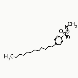 C=NOS(=O)(=O)c1ccc(CCCCCCCCCCCC)cc1